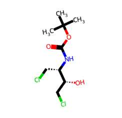 CC(C)(C)OC(=O)N[C@@H](CCl)[C@H](O)CCl